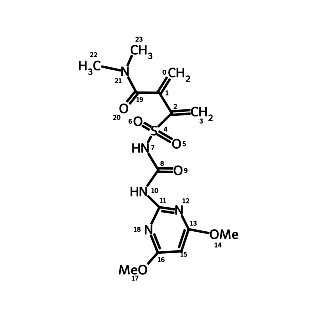 C=C(C(=C)S(=O)(=O)NC(=O)Nc1nc(OC)cc(OC)n1)C(=O)N(C)C